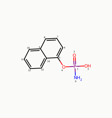 NP(=O)(O)Oc1cccc2ccccc12